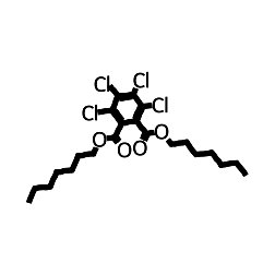 CCCCCCCOC(=O)c1c(Cl)c(Cl)c(Cl)c(Cl)c1C(=O)OCCCCCCC